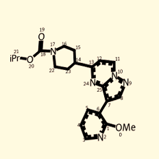 COc1ncccc1-c1cnn2ccc(C3CCN(C(=O)OC(C)C)CC3)nc12